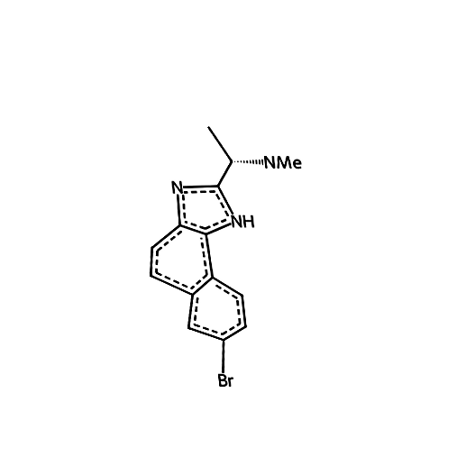 CN[C@@H](C)c1nc2ccc3cc(Br)ccc3c2[nH]1